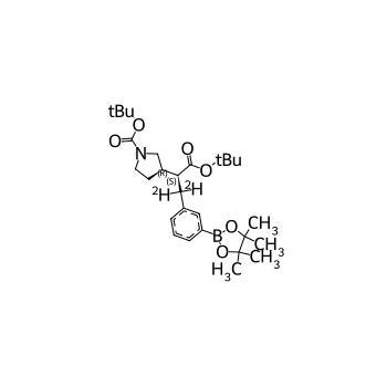 [2H]C([2H])(c1cccc(B2OC(C)(C)C(C)(C)O2)c1)[C@H](C(=O)OC(C)(C)C)[C@H]1CCN(C(=O)OC(C)(C)C)C1